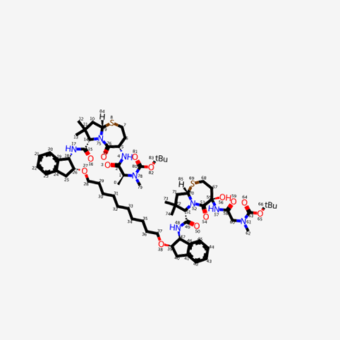 C[C@@H](C(=O)N[C@H]1CCS[C@H]2CC(C)(C)[C@@H](C(=O)N[C@H]3c4ccccc4C[C@H]3OCCCCCCCCCCO[C@@H]3Cc4ccccc4[C@@H]3NC(=O)[C@H]3N4C(=O)[C@@](O)(NC(=O)CN(C)C(=O)OC(C)(C)C)CCS[C@H]4CC3(C)C)N2C1=O)N(C)C(=O)OC(C)(C)C